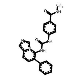 CNC(=O)c1ccc(NC(=O)Nc2c(-c3ccccc3)ccc3cncn23)cc1